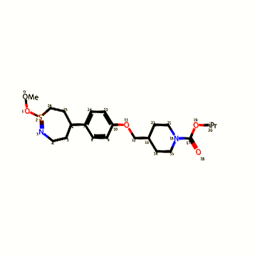 COOS1=NCCC(c2ccc(OCC3CCN(C(=O)OC(C)C)CC3)cc2)CC1